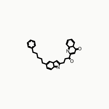 O=C(CCC1=CC2C=C(CCCCCc3ccccc3)C=CC2=N1)C1=CC(=O)C2C=CC=CC2=N1